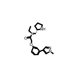 CCN(C[C@@H]1CCCN1)C(=O)COc1c[c]cc(-c2cnn(C)c2)c1